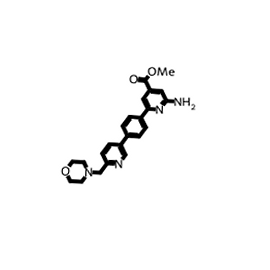 COC(=O)c1cc(N)nc(-c2ccc(-c3ccc(CN4CCOCC4)nc3)cc2)c1